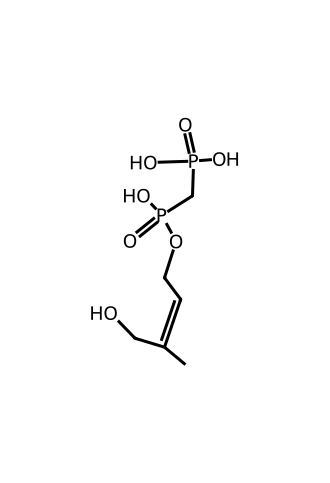 CC(=CCOP(=O)(O)CP(=O)(O)O)CO